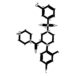 Cc1cc(F)ccc1N1CCN(S(=O)(=O)c2cccc(Cl)c2)CC1C(=O)N1CCNCC1